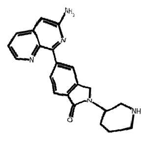 Nc1cc2cccnc2c(-c2ccc3c(c2)CN(C2CCCNC2)C3=O)n1